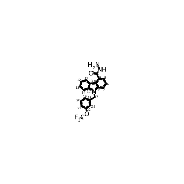 NNC(=O)c1cccc2c1c1[c]cccc1n2Cc1cccc(OC(F)(F)F)c1